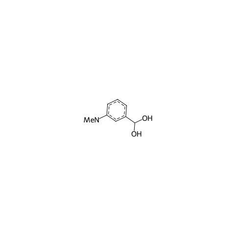 CNc1cccc(C(O)O)c1